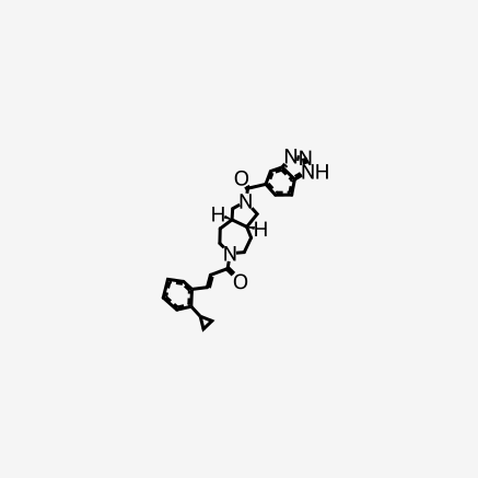 O=C(C=Cc1ccccc1C1CC1)N1CC[C@@H]2CN(C(=O)c3ccc4[nH]nnc4c3)C[C@@H]2CC1